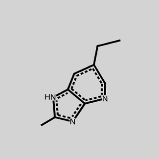 CCc1cnc2nc(C)[nH]c2c1